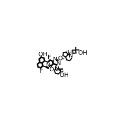 C#Cc1c(F)ccc2cc(O)cc(-c3nc(OC)c4c(N5CCC[C@@](C)(O)C5)nc(OC[C@]56CCC[C@H]5N(C5CC(C)(CO)C5)CCC6)nc4c3F)c12